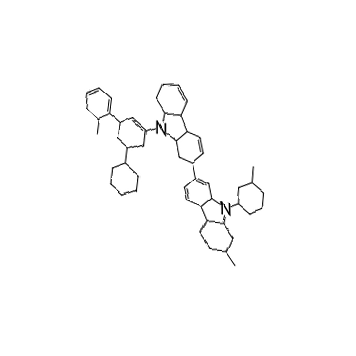 CC1CCCC(N2C3C=C(C4C=CC5C6C=CCCC6N(C6=CC(C7=CC=CCC7C)CC(C7CCCCC7)C6)C5C4)C=CC3C3CCC(C)CC32)C1